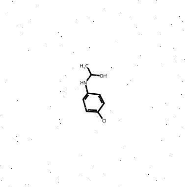 CC(O)Nc1ccc(Cl)cc1